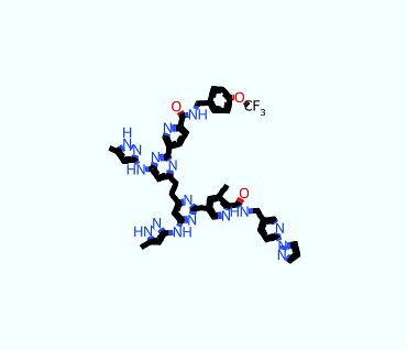 Cc1cc(Nc2cc(CCc3cc(Nc4cc(C)[nH]n4)nc(-c4cnc(C(=O)NCc5ccc(-n6cccn6)nc5)c(C)c4)n3)nc(-c3ccc(C(=O)NCc4ccc(OC(F)(F)F)cc4)nc3)n2)n[nH]1